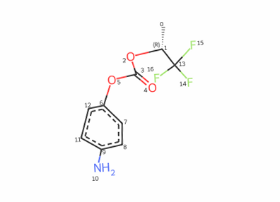 C[C@@H](OC(=O)Oc1ccc(N)cc1)C(F)(F)F